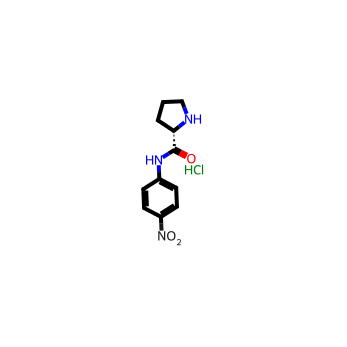 Cl.O=C(Nc1ccc([N+](=O)[O-])cc1)[C@@H]1CCCN1